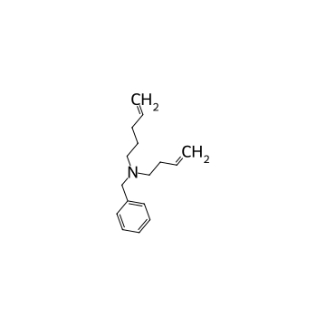 C=CCCCN(CCC=C)Cc1ccccc1